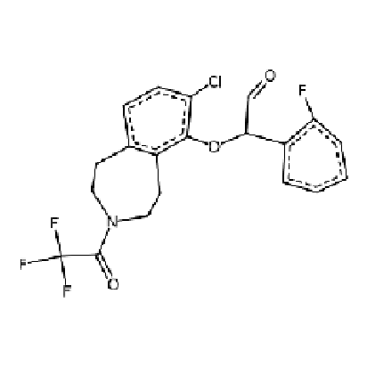 O=CC(Oc1c(Cl)ccc2c1CCN(C(=O)C(F)(F)F)CC2)c1ccccc1F